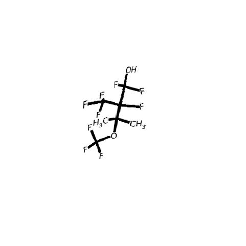 CC(C)(OC(F)(F)F)C(F)(C(O)(F)F)C(F)(F)F